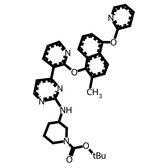 Cc1ccc2c(Oc3ccccn3)cccc2c1Oc1ncccc1-c1ccnc(NC2CCCN(C(=O)OC(C)(C)C)C2)n1